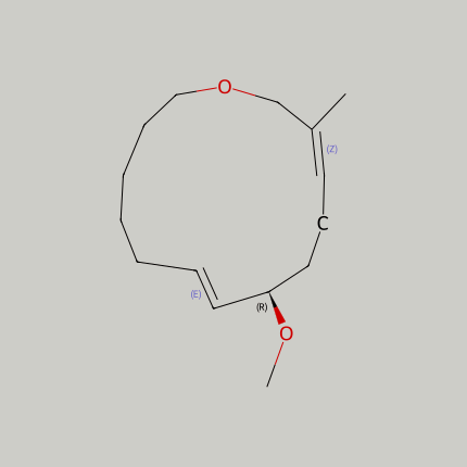 CO[C@H]1/C=C/CCCCCOC/C(C)=C\CC1